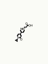 O=C(O)CC[n+]1ccc(-c2ccn(C3CC3)c(=O)c2)cn1